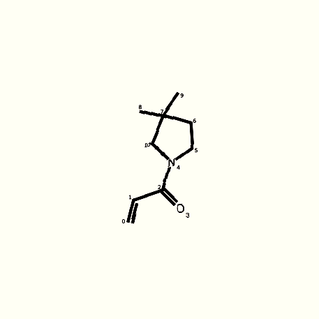 C=CC(=O)N1CCC(C)(C)C1